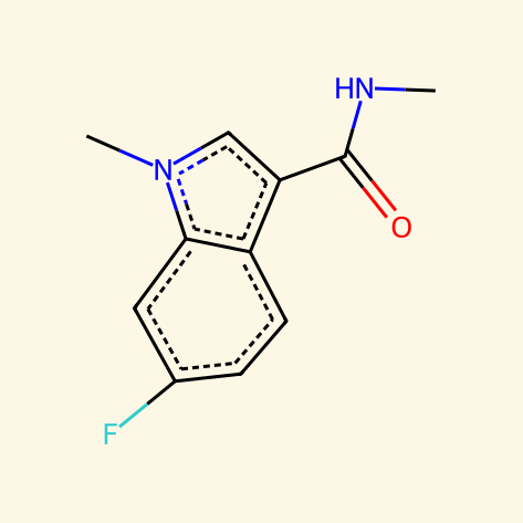 CNC(=O)c1cn(C)c2cc(F)ccc12